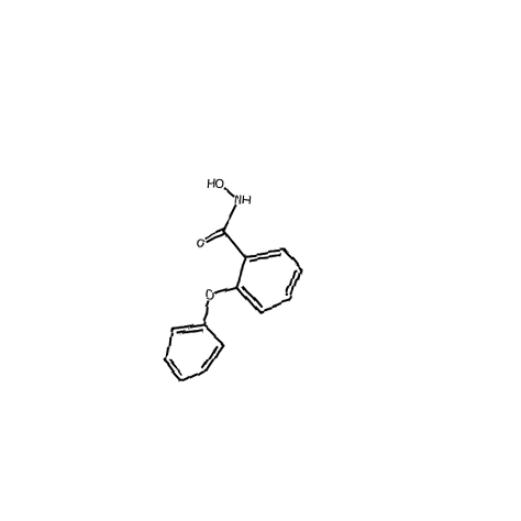 O=C(NO)c1ccccc1Oc1ccccc1